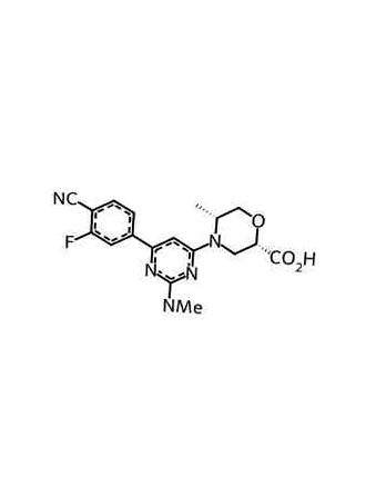 CNc1nc(-c2ccc(C#N)c(F)c2)cc(N2C[C@@H](C(=O)O)OC[C@H]2C)n1